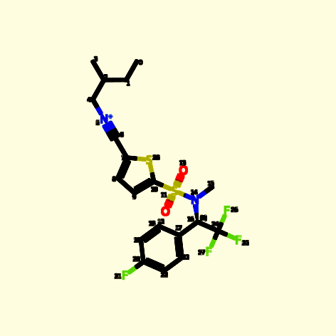 CCC(C)C[N+]#Cc1ccc(S(=O)(=O)N(C)[C@H](c2ccc(F)cc2)C(F)(F)F)s1